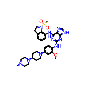 COc1cc(N2CCC(N3CCN(C)CC3)CC2)ccc1Nc1nc(Nc2cccc3c2N(S(C)(=O)=O)CC3)c2nc[nH]c2n1